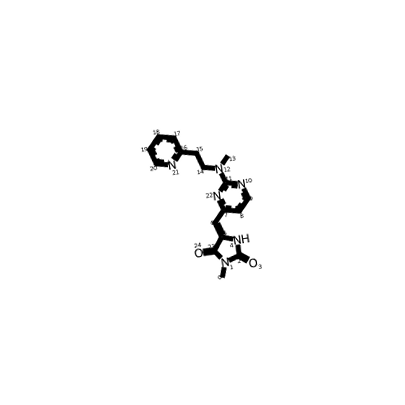 CN1C(=O)N/C(=C\c2ccnc(N(C)CCc3ccccn3)n2)C1=O